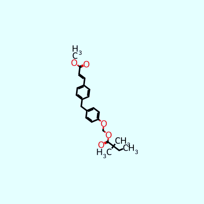 CCC(C)(C)C(=O)OCOc1ccc(Cc2ccc(/C=C/C(=O)OC)cc2)cc1